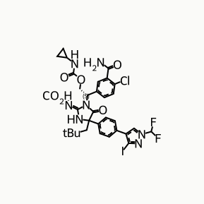 CC(C)(C)CC1(c2ccc(-c3cn(C(F)F)nc3I)cc2)NC(=NC(=O)O)N([C@H](COC(=O)NC2CC2)c2ccc(Cl)c(C(N)=O)c2)C1=O